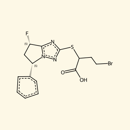 O=C(O)C(CCBr)Sc1nc2n(n1)[C@H](c1ccccc1)C[C@@H]2F